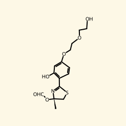 C[C@]1(OC=O)CSC(c2ccc(OCCOCCO)cc2O)=N1